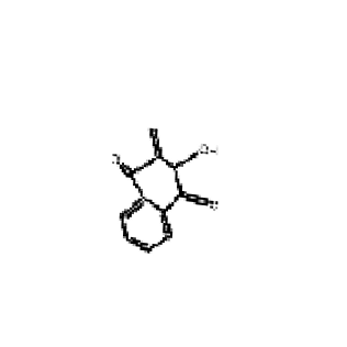 C=C1C(=O)c2ccccc2C(=O)C1O